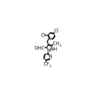 CC1=C(Cc2ccc(Cl)cc2Cl)C(C=O)N(c2ccc(C(F)(F)F)cn2)N1